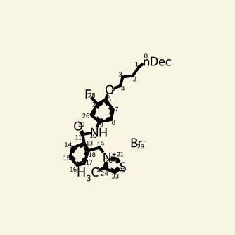 CCCCCCCCCCCCCCOc1ccc(NC(=O)c2ccccc2C[n+]2cscc2C)cc1F.[Br-]